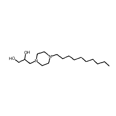 CCCCCCCCCCN1CCN(CC(O)CO)CC1